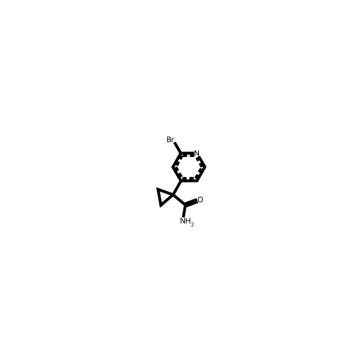 NC(=O)C1(c2ccnc(Br)c2)CC1